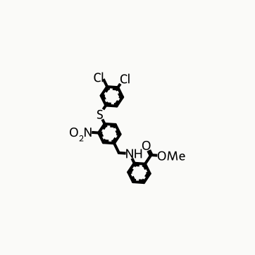 COC(=O)c1ccccc1NCc1ccc(Sc2ccc(Cl)c(Cl)c2)c([N+](=O)[O-])c1